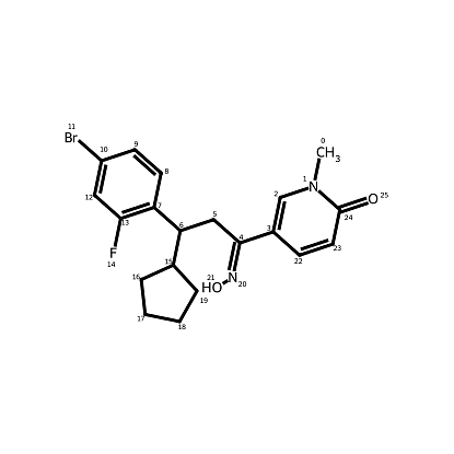 Cn1cc(/C(CC(c2ccc(Br)cc2F)C2CCCC2)=N/O)ccc1=O